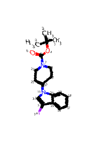 CC(C)(C)OC(=O)N1CCC(n2cc(I)c3ccccc32)CC1